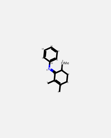 COC1CCC(C)=C(C)C1=Nc1ccccc1